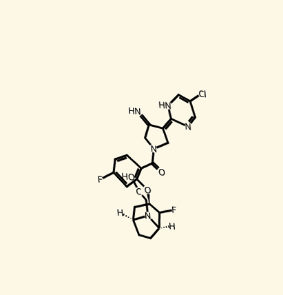 N=C1CN(C(=O)c2ccc(F)cc2O[C@@H]2C[C@@H]3CC[C@H](C2F)N3CCO)C/C1=C1\N=CC(Cl)=CN1